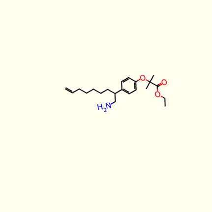 C=CCCCCCC(CN)c1ccc(OC(C)(C)C(=O)OCC)cc1